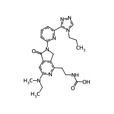 CCCn1cnnc1-c1cccc(N2Cc3c(cc(N(C)CC)nc3CCNC(=O)O)C2=O)n1